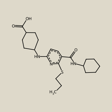 CCCSc1nc(NC2CCC(C(=O)O)CC2)ccc1C(=O)NC1CCCCC1